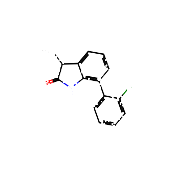 CSC1C(=O)Nc2c(-c3ccccc3Br)cccc21